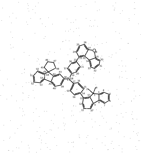 CC1(C)c2ccccc2-c2cccc(-c3ccc(N(c4ccc(-c5cccc6oc7ccccc7c56)cc4)c4ccc5c(c4)C4(CCCC4)c4ccccc4-5)cc3)c21